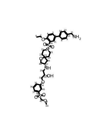 CCOc1ccc(-c2ccc(CN)cc2)cc1S(=O)(=O)N1CCC2(CC1)C[C@H](NC[C@H](O)COc1cccc(S(=O)(=O)COC)c1)CO2